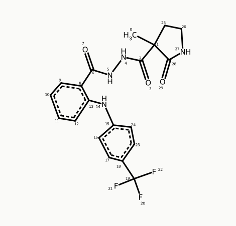 CC1(C(=O)NNC(=O)c2ccccc2Nc2ccc(C(F)(F)F)cc2)CCNC1=O